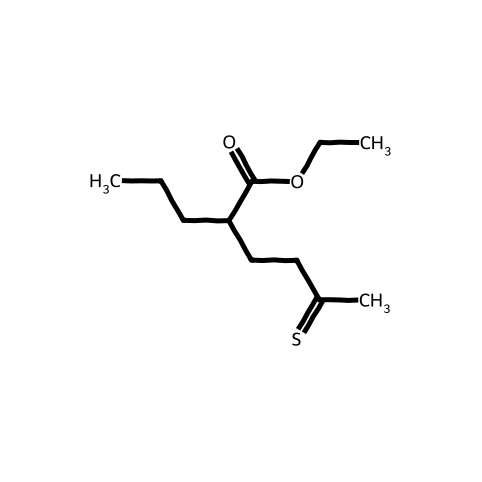 CCCC(CCC(C)=S)C(=O)OCC